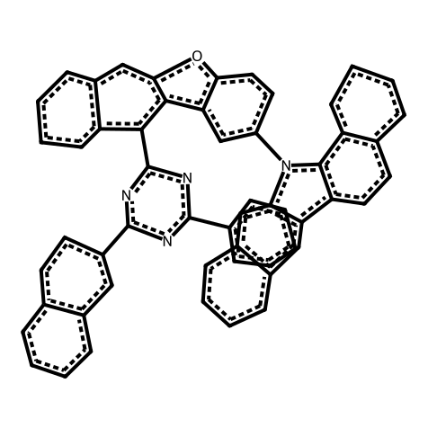 c1ccc(-c2nc(-c3ccc4ccccc4c3)nc(-c3c4ccccc4cc4oc5ccc(-n6c7cc8ccccc8cc7c7ccc8ccccc8c76)cc5c34)n2)cc1